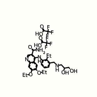 CCOc1cc2ncc(C(N)=O)c(Nc3cccc(CNCC(O)CO)c3CC)c2cc1OCC.O=C(O)C(F)(F)F.O=C(O)C(F)(F)F